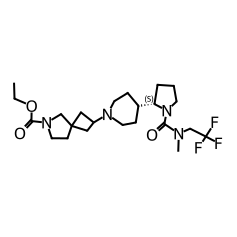 CCOC(=O)N1CCC2(CC(N3CCC([C@@H]4CCCN4C(=O)N(C)CC(F)(F)F)CC3)C2)C1